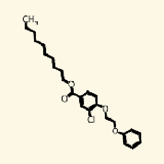 CCCCCCCCCCOC(=O)c1ccc(OCCOc2ccccc2)c(Cl)c1